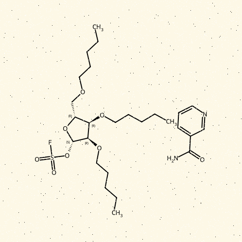 CCCCCOC[C@H]1O[C@@H](OS(=O)(=O)F)[C@H](OCCCCC)[C@@H]1OCCCCC.NC(=O)c1cccnc1